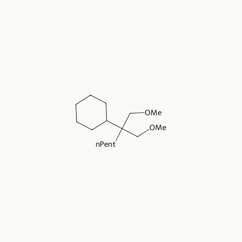 CCCCCC(COC)(COC)C1CCCCC1